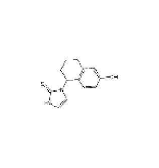 Oc1ccc2c(c1)CCCC2n1cc[nH]c1=S